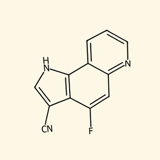 N#Cc1c[nH]c2c1c(F)cc1ncccc12